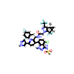 Cn1cc(-c2ccc(-c3ccc(Cl)c4c(NS(C)(=O)=O)nn(C)c34)c([C@H](Cc3cc(F)cc(F)c3)NC(=O)Cn3nc(C(F)(F)F)c4c3C(F)(F)[C@@H]3C[C@H]43)n2)cn1